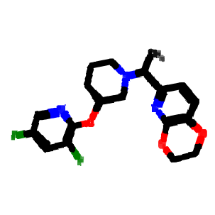 CC(c1ccc2c(n1)OCCO2)N1CCCC(Oc2ncc(F)cc2F)C1